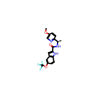 COc1ccc([C@@H](C)NC(=O)c2cc3cc(OC(F)(F)F)ccc3[nH]2)nc1